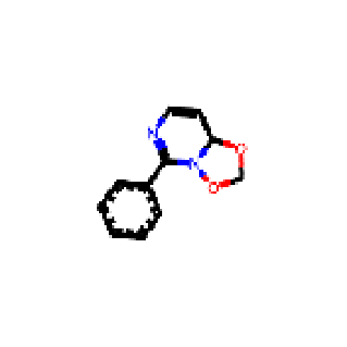 C1=CC2OCON2C(c2ccccc2)=N1